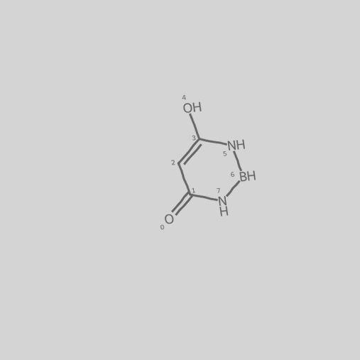 O=C1C=C(O)NBN1